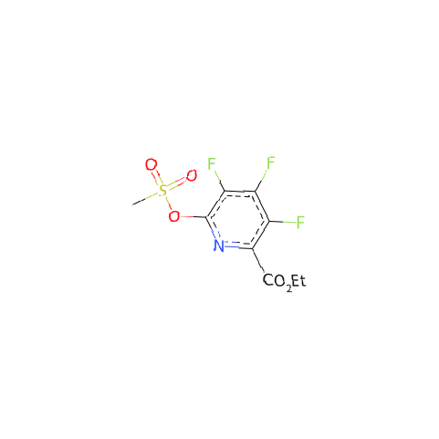 CCOC(=O)c1nc(OS(C)(=O)=O)c(F)c(F)c1F